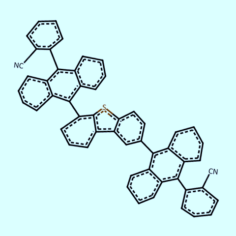 N#Cc1ccccc1-c1c2ccccc2c(-c2ccc3sc4c(-c5c6ccccc6c(-c6ccccc6C#N)c6ccccc56)cccc4c3c2)c2ccccc12